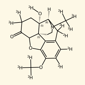 [2H]O[C@@]12CC([2H])([2H])C(=O)C3Oc4c(OC([2H])([2H])[2H])c([2H])c([2H])c5c4[C@@]31CCN(C([2H])([2H])[2H])[C@@H]2C5([2H])[2H]